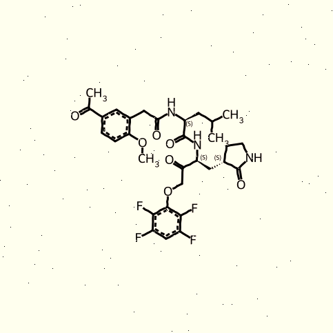 COc1ccc(C(C)=O)cc1CC(=O)N[C@@H](CC(C)C)C(=O)N[C@@H](C[C@@H]1CCNC1=O)C(=O)COc1c(F)c(F)cc(F)c1F